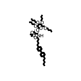 CCCCCc1ccc(-c2ccc(CCCCC(=O)N[C@@H](COC3OC(COCCCC)C(OCCCC)C(OCCCC)C3OCCCC)[C@@H]3OC(C)(C)O[C@@H]3C)cc2)cc1